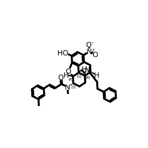 Cc1cccc(C=CC(=O)N(C)[C@H]2CC[C@H]3[C@H]4Cc5c([N+](=O)[O-])cc(O)c6c5[C@@]3(CCN4CCc3ccccc3)[C@H]2O6)c1